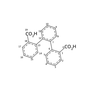 O=C(O)c1ccccc1-c1ccccc1-c1ccccc1C(=O)O